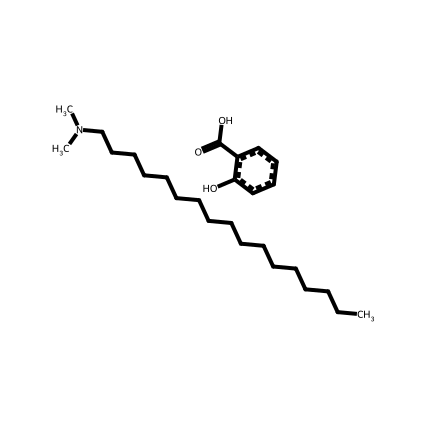 CCCCCCCCCCCCCCCCCN(C)C.O=C(O)c1ccccc1O